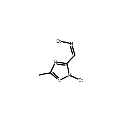 CC/N=C\c1nc(C)nn1CC